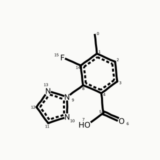 Cc1ccc(C(=O)O)c(-n2nccn2)c1F